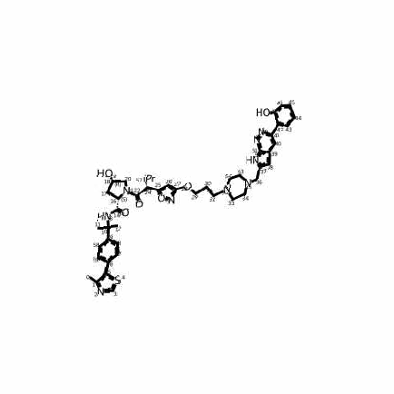 Cc1ncsc1-c1ccc(C(C)(C)NC(=O)[C@@H]2C[C@@H](O)CN2C(=O)[C@@H](c2cc(OCCCN3CCN(Cc4cc5cc(-c6ccccc6O)nnc5[nH]4)CC3)no2)C(C)C)cc1